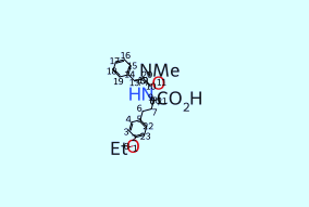 CCOc1ccc(CC[C@@H](NC(=O)[C@H](Cc2ccccc2)NC)C(=O)O)cc1